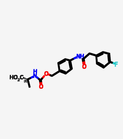 C[C@@H](NC(=O)OCc1ccc(NC(=O)Cc2ccc(F)cc2)cc1)C(=O)O